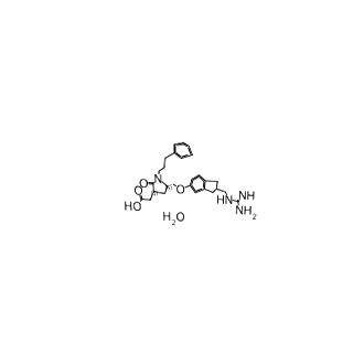 N=C(N)NCC1Cc2ccc(OC[C@@H]3C[C@@H](CC(=O)O)C(=O)N3CCCc3ccccc3)cc2C1.O